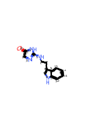 O=C1CN=C(NCCc2c[nH]c3ccccc23)N1